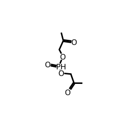 CC(=O)CO[PH](=O)OCC(C)=O